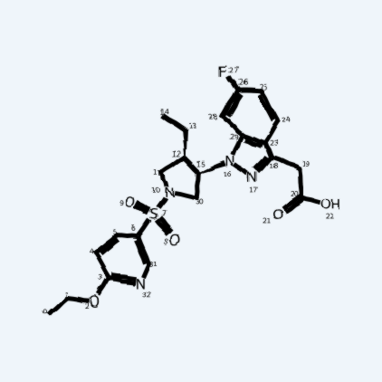 CCOc1ccc(S(=O)(=O)N2C[C@@H](CC)[C@@H](n3nc(CC(=O)O)c4ccc(F)cc43)C2)cn1